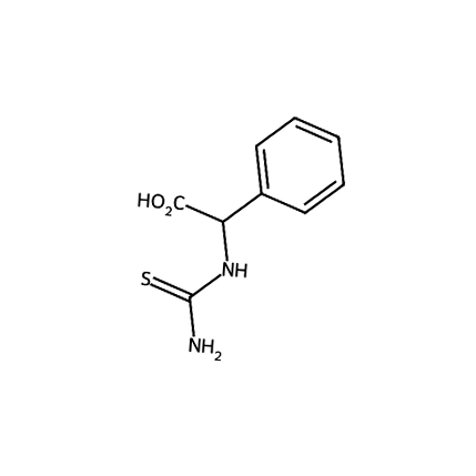 NC(=S)NC(C(=O)O)c1ccccc1